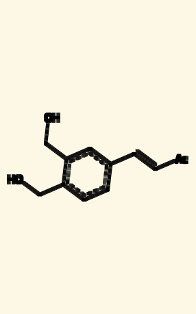 CC(=O)/C=C/c1ccc(CO)c(CO)c1